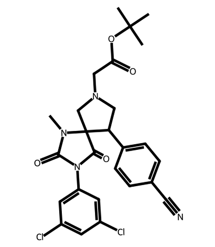 CN1C(=O)N(c2cc(Cl)cc(Cl)c2)C(=O)C12CN(CC(=O)OC(C)(C)C)CC2c1ccc(C#N)cc1